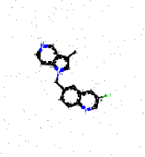 Cc1cn(Cc2ccc3ncc(Cl)cc3c2)c2ccncc12